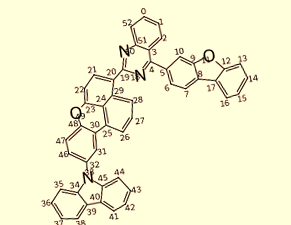 c1ccc2c(-c3ccc4c(c3)oc3ccccc34)nc(-c3ccc4c5c(cccc35)-c3cc(-n5c6ccccc6c6ccccc65)ccc3O4)nc2c1